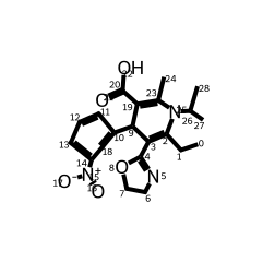 CCC1=C(C2=NCCO2)C(c2cccc([N+](=O)[O-])c2)C(C(=O)O)=C(C)N1C(C)C